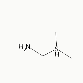 C[SH](C)CN